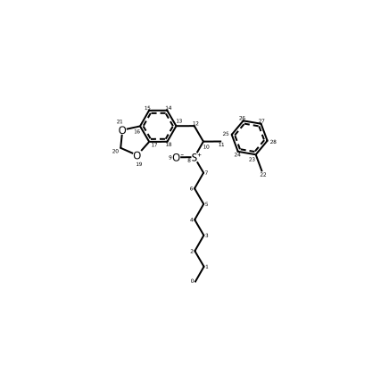 CCCCCCCC[S+]([O-])C(C)Cc1ccc2c(c1)OCO2.Cc1ccccc1